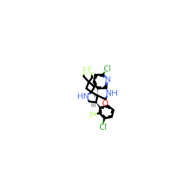 O=C1Nc2nc(Cl)ccc2[C@@]12[C@@H](c1cccc(Cl)c1F)CNC21CC(CF)(CF)C1